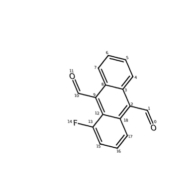 O=Cc1c2ccccc2c(C=O)c2c(F)cccc12